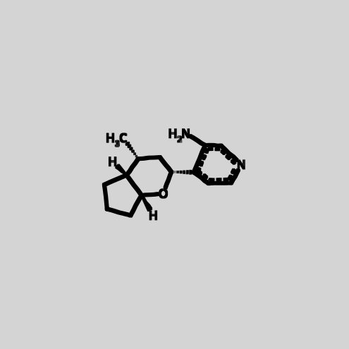 C[C@@H]1C[C@H](c2ccncc2N)O[C@@H]2CCC[C@H]12